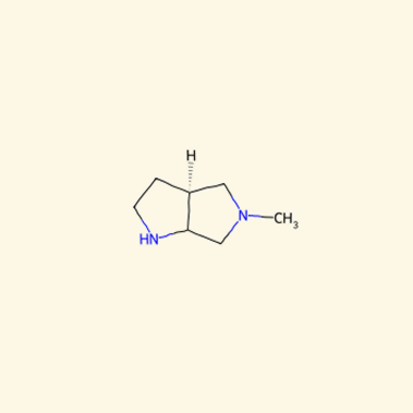 CN1CC2NCC[C@H]2C1